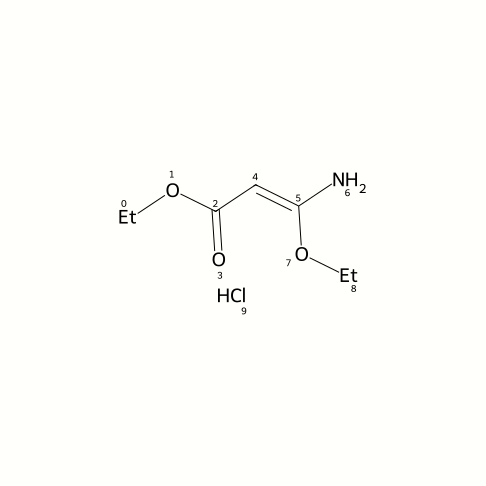 CCOC(=O)C=C(N)OCC.Cl